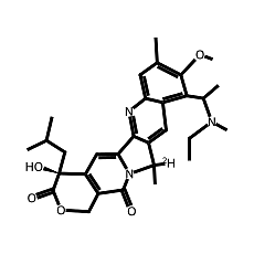 [2H]C1(C)c2cc3c(C(C)N(C)CC)c(OC)c(C)cc3nc2-c2cc3c(c(=O)n21)COC(=O)[C@]3(O)CC(C)C